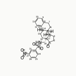 O=C1CC[C@H]2[C@@H]3CCc4ccccc4[C@H]3CC[C@]12CNS(=O)(=O)c1cccc([N+](=O)[O-])c1